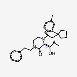 C=C(C)/C(O)=C1/C(=O)N(CCc2ccccc2)CCN1C(=C)CC1(c2cccc(C)c2)CCCC1